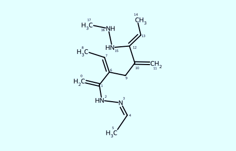 C=C(N/N=C\C)/C(=C\C)CC(=C)/C(=C/C)NNC